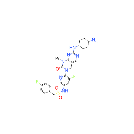 CC(C)N1C(=O)N(c2ncc(NS(=O)(=O)Cc3ccc(F)cc3)cc2F)Cc2cnc(NC3CCC(N(C)C)CC3)nc21